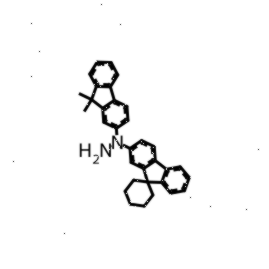 CC1(C)c2ccccc2-c2ccc(N(N)c3ccc4c(c3)C3(CCCCC3)c3ccccc3-4)cc21